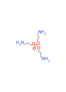 NCCCOP(=O)(OCCCN)OCCCN